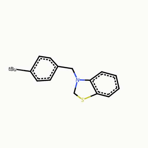 CC(C)(C)c1ccc(CN2CSc3ccccc32)cc1